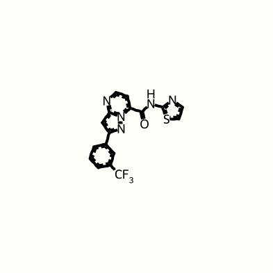 O=C(Nc1nccs1)c1ccnc2cc(-c3cccc(C(F)(F)F)c3)nn12